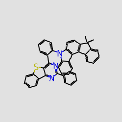 CC1(C)c2ccccc2-c2c1ccc1c2c2ccccc2n1-c1ccccc1-c1nc(-c2ccccc2)nc2c1sc1ccccc12